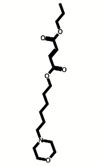 CCCOC(=O)/C=C/C(=O)OCCCCCCN1CCOCC1